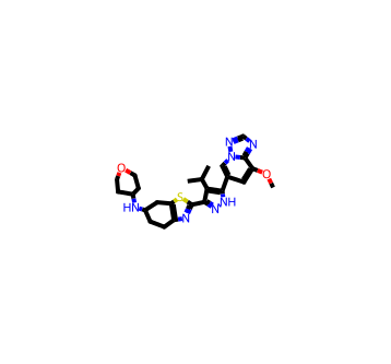 COc1cc(-c2[nH]nc(-c3nc4c(s3)CC(NC3CCOCC3)CC4)c2C(C)C)cn2ncnc12